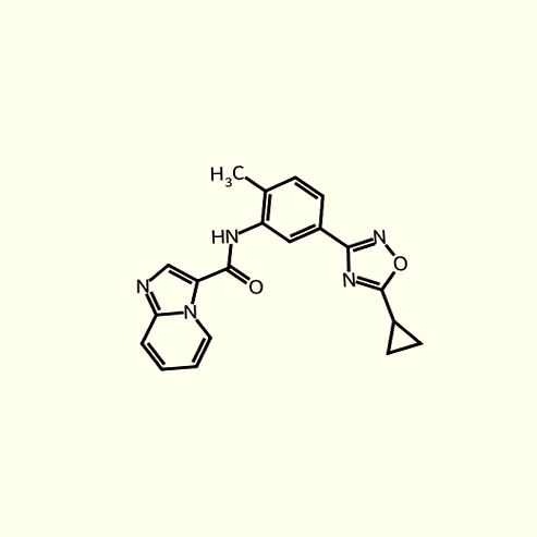 Cc1ccc(-c2noc(C3CC3)n2)cc1NC(=O)c1cnc2ccccn12